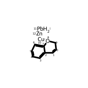 C1=Cc2ccccc2OC1.[Cu].[PbH2].[Zn]